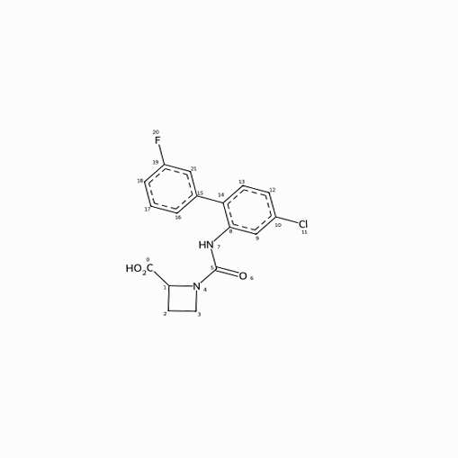 O=C(O)C1CCN1C(=O)Nc1cc(Cl)ccc1-c1cccc(F)c1